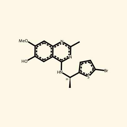 COc1cc2nc(C)nc(N[C@H](C)c3ccc(Br)s3)c2cc1O